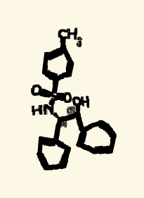 Cc1ccc(S(=O)(=O)N[C@@H](c2ccccc2)[C@@H](O)c2ccccc2)cc1